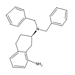 Nc1cccc2c1C[C@H](N(Cc1ccccc1)Cc1ccccc1)CC2